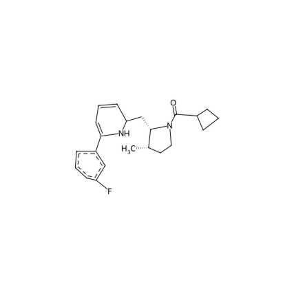 C[C@H]1CCN(C(=O)C2CCC2)[C@H]1CC1C=CC=C(c2cccc(F)c2)N1